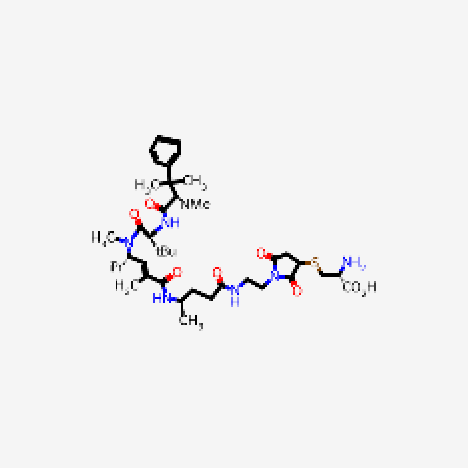 CN[C@H](C(=O)N[C@H](C(=O)N(C)[C@H](/C=C(\C)C(=O)N[C@H](C)CCC(=O)NCCN1C(=O)CC(SC[C@H](N)C(=O)O)C1=O)C(C)C)C(C)(C)C)C(C)(C)c1ccccc1